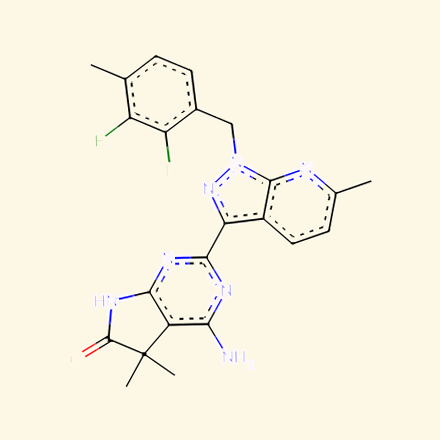 Cc1ccc2c(-c3nc(N)c4c(n3)NC(=O)C4(C)C)nn(Cc3ccc(C)c(F)c3F)c2n1